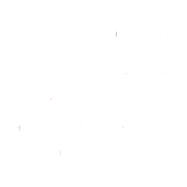 CC(C)C(=O)OCC1OCCC1OC(=O)C(C)C